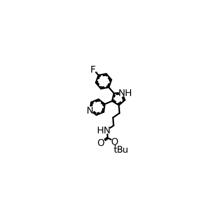 CC(C)(C)OC(=O)NCCCc1c[nH]c(-c2ccc(F)cc2)c1-c1ccncc1